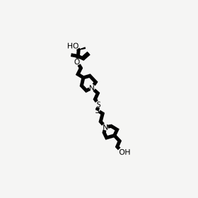 C=CC(C)(OCCC1CCN(CCSSCCN2CCC(CCO)CC2)CC1)[C@H](C)O